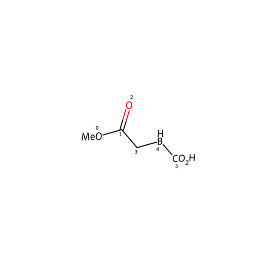 COC(=O)CBC(=O)O